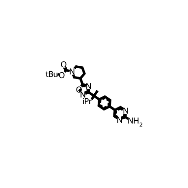 CC(C)C(C)(c1ccc(-c2cnc(N)nc2)cc1)c1noc(C2CCCN(C(=O)OC(C)(C)C)C2)n1